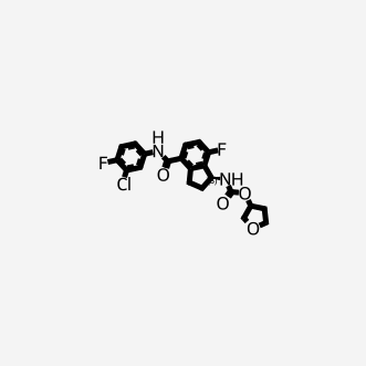 O=C(N[C@H]1CCc2c(C(=O)Nc3ccc(F)c(Cl)c3)ccc(F)c21)OC1CCOC1